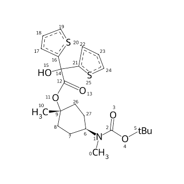 CN(C(=O)OC(C)(C)C)[C@H]1CC[C@](C)(OC(=O)C(O)(c2cccs2)c2cccs2)CC1